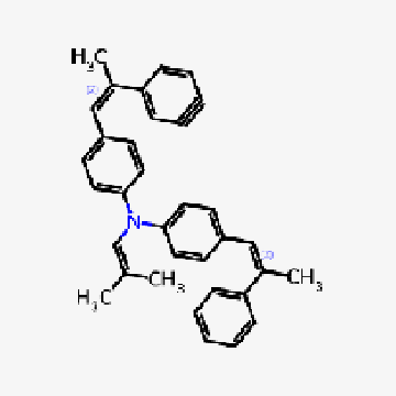 CC(C)=CN(c1ccc(/C=C(/C)c2cc#ccc2)cc1)c1ccc(/C=C(/C)c2ccccc2)cc1